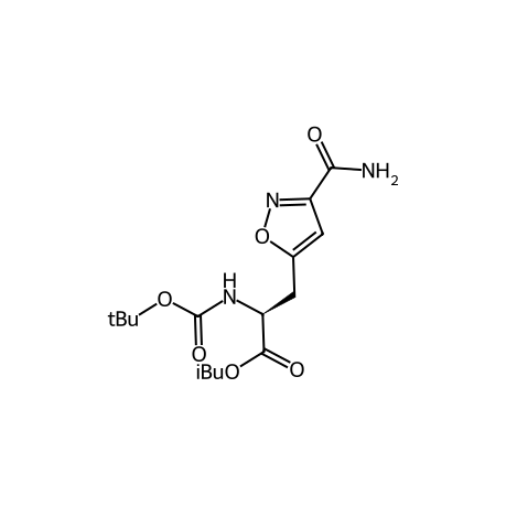 CC(C)COC(=O)[C@H](Cc1cc(C(N)=O)no1)NC(=O)OC(C)(C)C